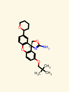 CC(C)(C)COc1ccc2c(c1)[C@]1(COC(N)=N1)c1cc(C3CCCCO3)ccc1O2